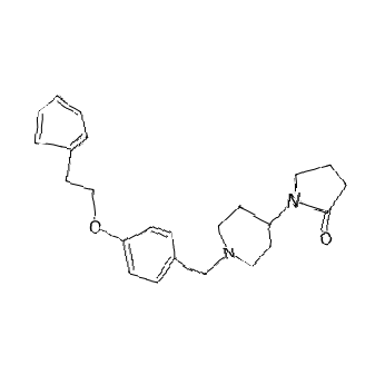 O=C1CCCN1C1CCN(Cc2ccc(OCCc3ccccc3)cc2)CC1